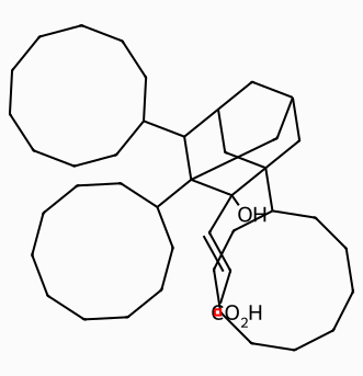 O=C(O)C=CC1(O)C2(C3CCCCCCCCC3)CC3CC(C2)C(C2CCCCCCCCC2)C1(C1CCCCCCCCC1)C3